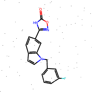 O=c1[nH]c(-c2ccc3ccn(Cc4cccc(F)c4)c3c2)no1